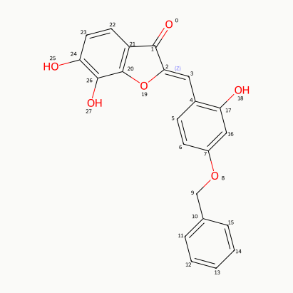 O=C1/C(=C/c2ccc(OCc3ccccc3)cc2O)Oc2c1ccc(O)c2O